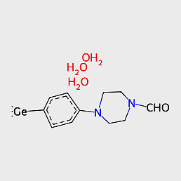 O.O.O.O=CN1CCN(c2cc[c]([Ge])cc2)CC1